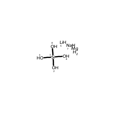 O[Si](O)(O)O.[LiH].[MgH2].[NaH]